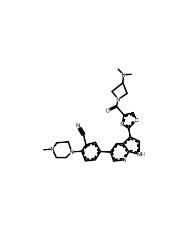 CN1CCN(c2ccc(-c3cnc4[nH]cc(-c5nc(C(=O)N6CC(N(C)C)C6)co5)c4c3)cc2C#N)CC1